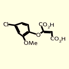 COc1cc(Cl)ccc1O/C(=C\C(=O)O)C(=O)O